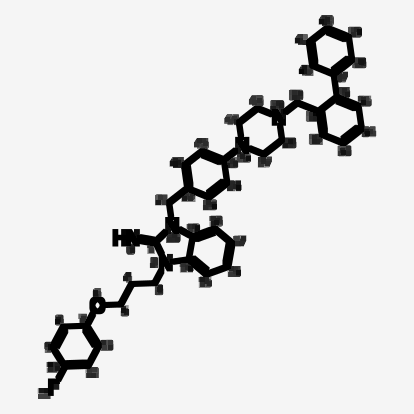 N=c1n(CCCOc2ccc(F)cc2)c2ccccc2n1Cc1ccc(N2CCN(Cc3ccccc3-c3ccccc3)CC2)cc1